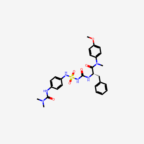 COc1ccc(N(C)C(=O)[C@H](Cc2ccccc2)NC(=O)NS(=O)(=O)Nc2ccc(NC(=O)N(C)C)cc2)cc1